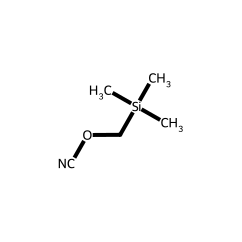 C[Si](C)(C)COC#N